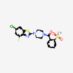 CCS(=O)(=O)c1ccccc1C(=O)N1CCN(c2nc3c(F)cc(Cl)cc3s2)CC1